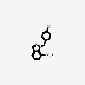 O=C(O)c1cccc2cnn(Cc3ccc(C(F)(F)F)cc3)c12